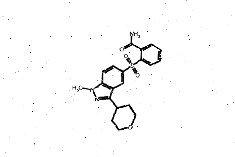 Cn1nc(C2CCOCC2)c2cc(S(=O)(=O)c3ccccc3C(N)=O)ccc21